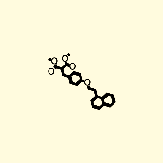 COC(=O)C(Cc1ccc(OCCc2cccc3ccccc23)cc1)C(=O)OC